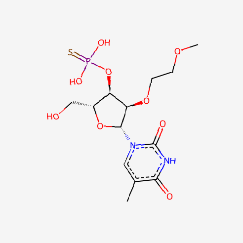 COCCO[C@@H]1[C@H](OP(O)(O)=S)[C@@H](CO)O[C@H]1n1cc(C)c(=O)[nH]c1=O